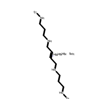 Br.Br.Br.Br.CCNCCCNC/C=C/CNCCCNCC